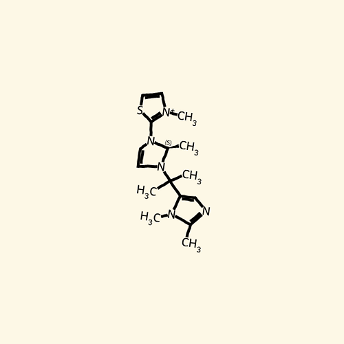 Cc1ncc(C(C)(C)N2C=CN(c3scc[n+]3C)[C@H]2C)n1C